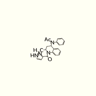 CC(=O)N(c1ccccc1)C1CC(C)N(C(=O)c2cc[nH]n2)c2ccccc21